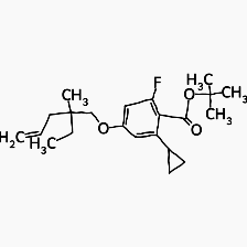 C=CCC(C)(CC)COc1cc(F)c(C(=O)OC(C)(C)C)c(C2CC2)c1